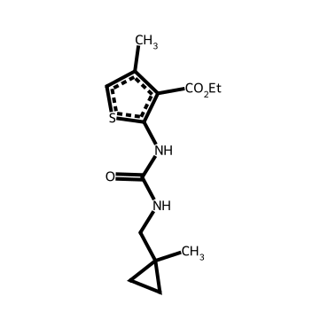 CCOC(=O)c1c(C)csc1NC(=O)NCC1(C)CC1